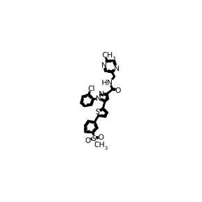 Cc1cnc(CNC(=O)c2cc(-c3ccc(-c4cccc(S(C)(=O)=O)c4)s3)n(-c3ccccc3Cl)n2)cn1